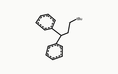 CC(C)(C)[CH]CC(c1ccccc1)c1ccccc1